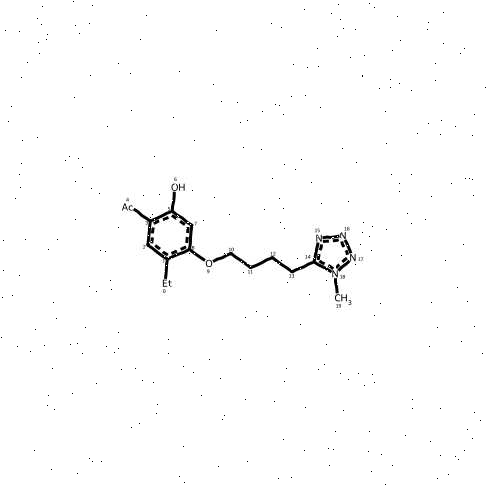 CCc1cc(C(C)=O)c(O)cc1OCCCCc1nnnn1C